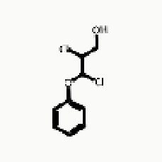 OCC(Cl)[C](Cl)Oc1ccccc1